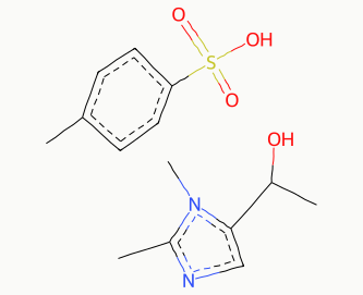 Cc1ccc(S(=O)(=O)O)cc1.Cc1ncc(C(C)O)n1C